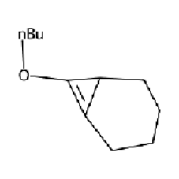 CCCCOC1=C2CCCCC21